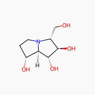 OC[C@@H]1[C@@H](O)[C@H](O)[C@H]2[C@H](O)CCN21